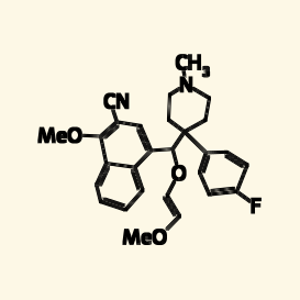 COC=COC(c1cc(C#N)c(OC)c2ccccc12)C1(c2ccc(F)cc2)CCN(C)CC1